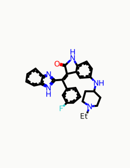 CCN1CCC(Nc2ccc3c(c2)/C(=C(\c2cccc(F)c2)c2nc4ccccc4[nH]2)C(=O)N3)CC1